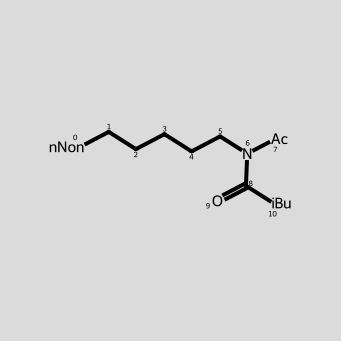 CCCCCCCCCCCCCCN(C(C)=O)C(=O)C(C)CC